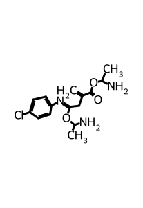 C=C(CC(=Nc1ccc(Cl)cc1)OC(C)N)C(=O)OC(C)N